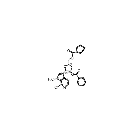 O=C(OC[C@@H]1C[C@@H](OC(=O)c2ccccc2)[C@H](n2cc(C(F)(F)F)c3c(Cl)ncnc32)O1)c1ccccc1